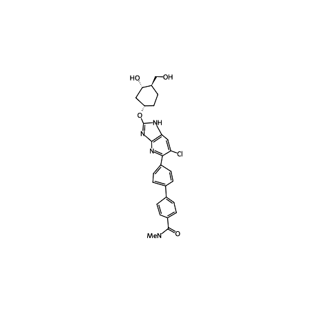 CNC(=O)c1ccc(-c2ccc(-c3nc4nc(O[C@H]5CC[C@H](CO)[C@@H](O)C5)[nH]c4cc3Cl)cc2)cc1